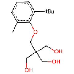 Cc1cccc(C(C)(C)C)c1OCC(CO)(CO)CO